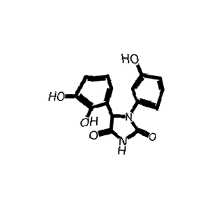 O=C1NC(=O)N(c2cccc(O)c2)C1c1cccc(O)c1O